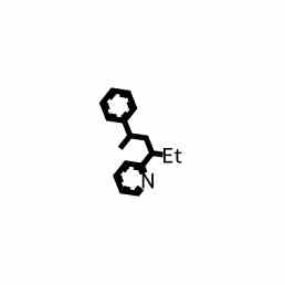 CCC(CC(C)c1ccccc1)c1ccccn1